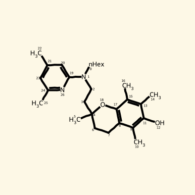 CCCCCCN(CCC1(C)CCc2c(C)c(O)c(C)c(C)c2O1)c1cc(C)cc(C)n1